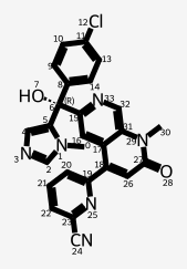 Cn1cncc1[C@@](O)(c1ccc(Cl)cc1)c1cc2c(-c3cccc(C#N)n3)cc(=O)n(C)c2cn1